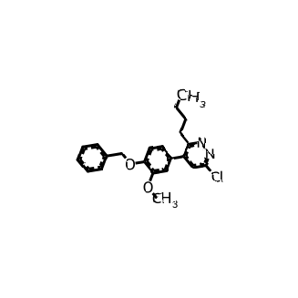 CCCCc1nnc(Cl)cc1-c1ccc(OCc2ccccc2)c(OC)c1